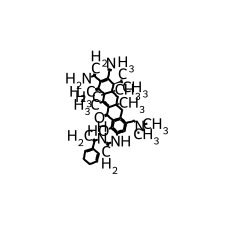 C=C(NC(=C)C1=CCCC=C1)Nc1cc(CN(C)C)c2c(c1O)C(=O)C1=C(C)[C@]3(C)C(=C)C(C(=C)N)=C(C#N)[C@@H](C(C)C)[C@]3(C)C[C@]1(C)C2